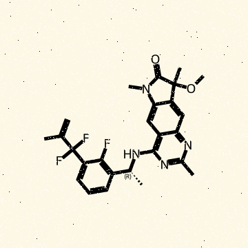 C=C(C)C(F)(F)c1cccc([C@@H](C)Nc2nc(C)nc3cc4c(cc23)N(C)C(=O)C4(C)OC)c1F